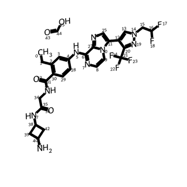 CCc1cc(Nc2nccn3c(-c4cn(CC(F)F)nc4C(F)(F)F)cnc23)ccc1C(=O)NCC(=O)NC1CC(N)C1.O=CO